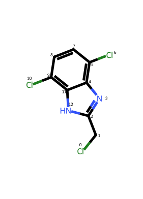 ClCc1nc2c(Cl)ccc(Cl)c2[nH]1